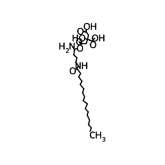 CCCCCCCCCCCCCCCCCC(=O)NCCCC(N)OC(=O)CC(O)(CC(=O)O)C(=O)O